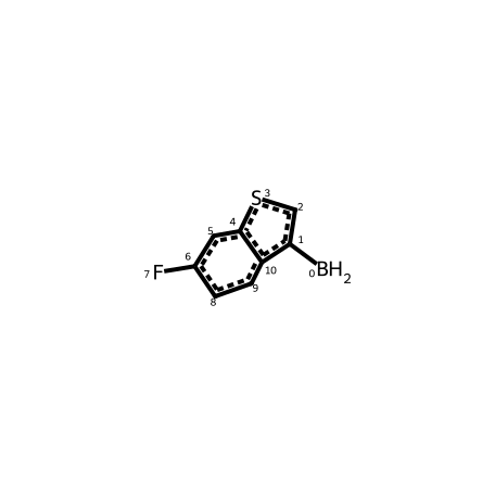 Bc1csc2cc(F)ccc12